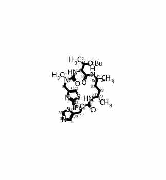 CC(C)COC(C)[C@H](NC(=O)N(C)Cc1csc(C(C)C)n1)C(=O)N[C@@H](C)CC[C@H](C)NC(=O)OCc1cncs1